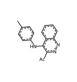 CC(=O)c1nnc2ccccc2c1Nc1ccc(C)cc1